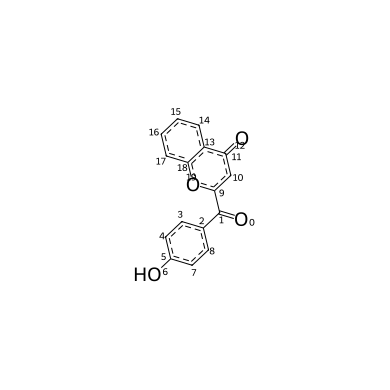 O=C(c1ccc(O)cc1)c1cc(=O)c2ccccc2o1